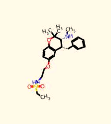 CCS(=O)(=O)NCCOc1ccc2c(c1)[C@@H](Cc1ccccc1)[C@@H](NC)C(C)(C)O2